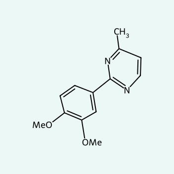 COc1ccc(-c2nccc(C)n2)cc1OC